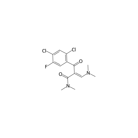 CN(C)C=C(C(=O)c1cc(F)c(Cl)cc1Cl)C(=O)N(C)C